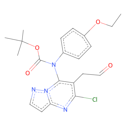 CCOc1ccc(N(C(=O)OC(C)(C)C)c2c(CC=O)c(Cl)nc3ccnn23)cc1